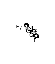 CC(C)(C(=O)Nc1cccc(C(F)(F)F)n1)S(=O)(=O)c1cc(F)ccc1F